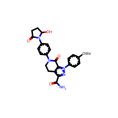 COc1ccc(-n2nc(C(N)=O)c3c2C(=O)N(c2ccc(N4C(=O)CCC4O)cc2)CC3)cc1